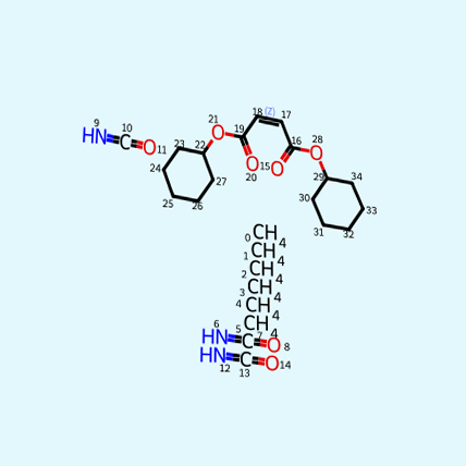 C.C.C.C.C.C.N=C=O.N=C=O.N=C=O.O=C(/C=C\C(=O)OC1CCCCC1)OC1CCCCC1